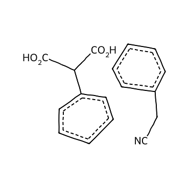 N#CCc1ccccc1.O=C(O)C(C(=O)O)c1ccccc1